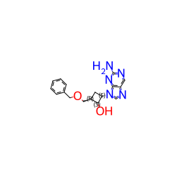 Nc1ncc2ncn([C@H]3C[C@H](COCc4ccccc4)[C@@H]3O)c2n1